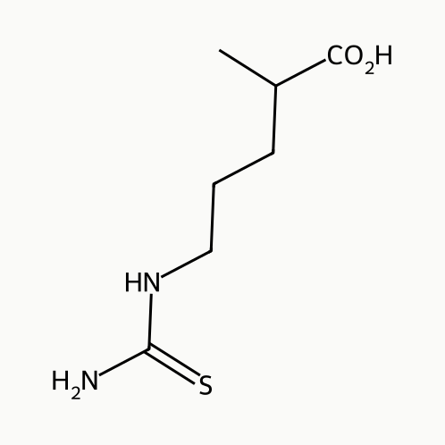 CC(CCCNC(N)=S)C(=O)O